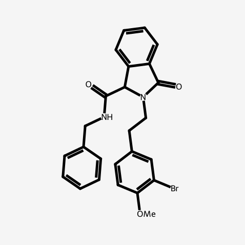 COc1ccc(CCN2C(=O)c3ccccc3C2C(=O)NCc2ccccc2)cc1Br